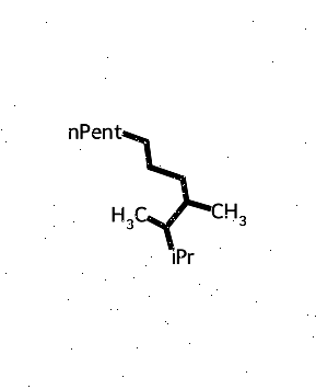 [CH2]CCCCCCCC(C)C(C)C(C)C